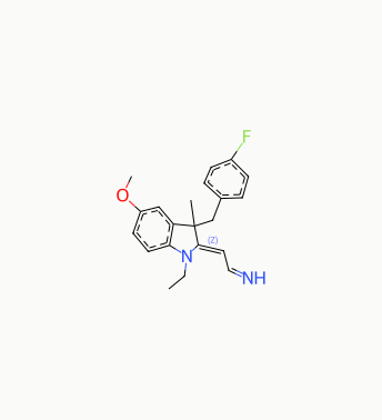 CCN1/C(=C\C=N)C(C)(Cc2ccc(F)cc2)c2cc(OC)ccc21